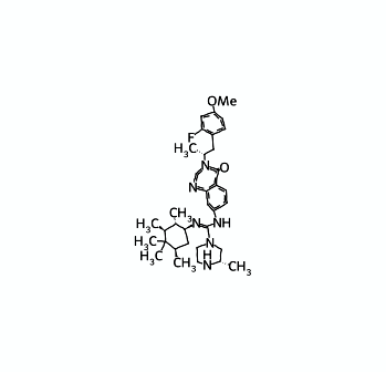 COc1ccc(C[C@@H](C)n2cnc3cc(NC(=N[C@H]4C[C@@H](C)C(C)(C)[C@@H](C)[C@@H]4C)N4CCN[C@@H](C)C4)ccc3c2=O)c(F)c1